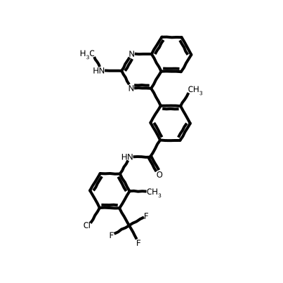 CNc1nc(-c2cc(C(=O)Nc3ccc(Cl)c(C(F)(F)F)c3C)ccc2C)c2ccccc2n1